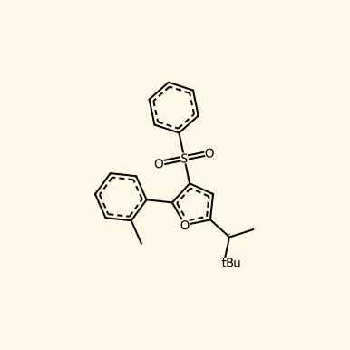 C[C](c1cc(S(=O)(=O)c2ccccc2)c(-c2ccccc2C)o1)C(C)(C)C